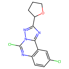 Clc1ccc2nc(Cl)n3nc(C4CCCO4)nc3c2c1